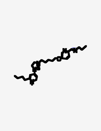 CCCCC1=CC(N2CCN(CCCCCOc3ccc(/C=N/CCC)nc3)S2)=CCN1C